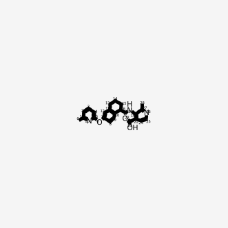 Cc1cccc(Oc2ccc3c(c2)CCCC3CNc2c(C(=O)O)ccnc2C)n1